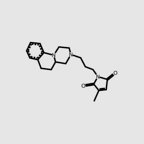 CC1=CC(=O)N(CCCN2CCN3c4ccccc4CCC3C2)C1=O